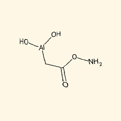 NOC(=O)[CH2][Al]([OH])[OH]